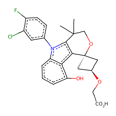 CC1(C)CO[C@]2(C[C@H](OCC(=O)O)C2)c2c1n(-c1ccc(F)c(Cl)c1)c1cccc(O)c12